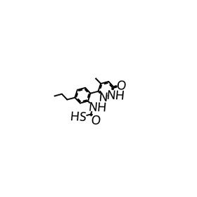 CCCc1ccc(-c2n[nH]c(=O)cc2C)c(NC(=O)S)c1